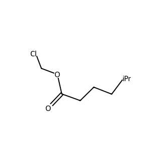 CC(C)CCCC(=O)OCCl